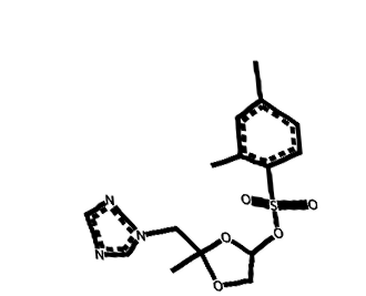 Cc1ccc(S(=O)(=O)OC2COC(C)(Cn3cncn3)O2)c(C)c1